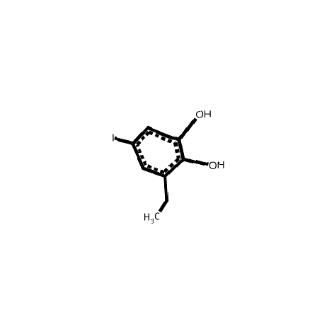 CCc1cc(I)cc(O)c1O